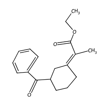 CCOC(=O)/C(C)=C1/CCCC(C(=O)c2ccccc2)C1